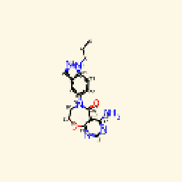 CCCn1ncc2cc(N3CCOc4ncnc(N)c4C3=O)ccc21